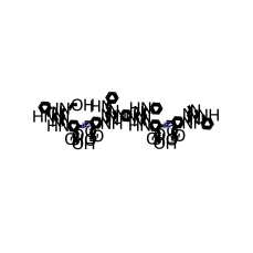 Cc1nc(Nc2ccccc2)nc(Nc2ccc(/C=C/c3ccc(Nc4nc(Nc5ccccc5)nc(N5CCN(c6nc(Nc7ccccc7)nc(Nc7ccc(/C=C/c8ccc(Nc9nc(NCCO)nc(Nc%10ccccc%10)n9)cc8OS(=O)O)c(OS(=O)O)c7)n6)CC5)n4)cc3OS(=O)O)c(OS(=O)O)c2)n1